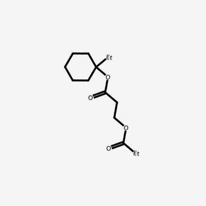 CCC(=O)OCCC(=O)OC1(CC)CCCCC1